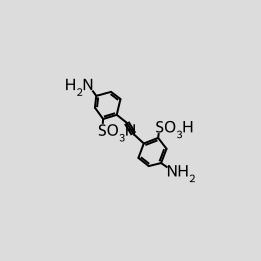 Nc1ccc(C#Cc2ccc(N)cc2S(=O)(=O)O)c(S(=O)(=O)O)c1